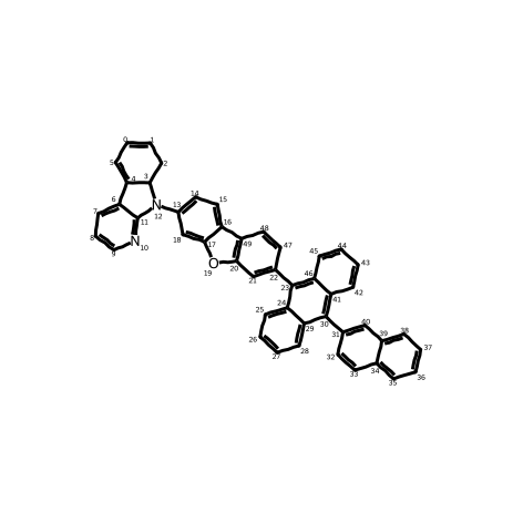 C1=CCC2C(=C1)c1cccnc1N2c1ccc2c(c1)oc1cc(-c3c4ccccc4c(-c4ccc5ccccc5c4)c4ccccc34)ccc12